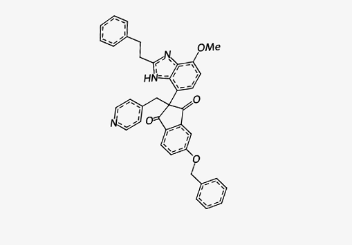 COc1ccc(C2(Cc3ccncc3)C(=O)c3ccc(OCc4ccccc4)cc3C2=O)c2[nH]c(CCc3ccccc3)nc12